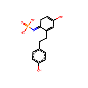 O=P(O)(O)N=C1CC=C(O)C=C1CCc1ccc(O)cc1